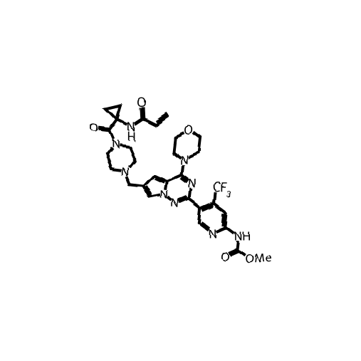 C=CC(=O)NC1(C(=O)N2CCN(Cc3cc4c(N5CCOCC5)nc(-c5cnc(NC(=O)OC)cc5C(F)(F)F)nn4c3)CC2)CC1